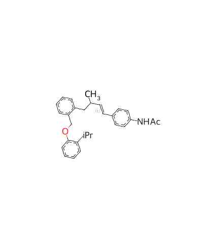 CC(=O)Nc1ccc(/C=C/C(C)Cc2ccccc2COc2ccccc2C(C)C)cc1